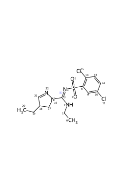 CCN/C(=N\S(=O)(=O)c1cc(Cl)ccc1Cl)N1CC(CC)C=N1